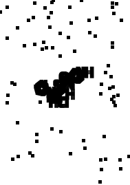 Cc1nn(C2CCCCC2)c2sc(C(=O)NC3CCNCC3)cc12.Cl